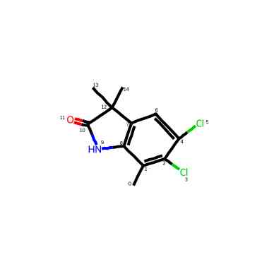 Cc1c(Cl)c(Cl)cc2c1NC(=O)C2(C)C